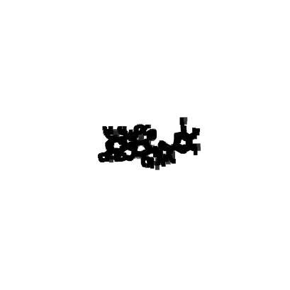 CO[C@@H]1[C@@H](n2cc(-c3cc(F)c(F)c(F)c3)nn2)[C@@H](O)[C@@H](CO)O[C@H]1C(=O)N(C)c1ccc(Cl)cc1Cl